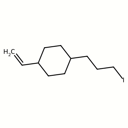 C=CC1CCC(CCCI)CC1